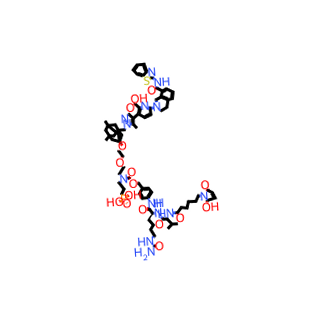 Cc1c(-c2ccc(N3CCc4cccc(C(=O)Nc5nc6ccccc6s5)c4C3)nc2C(=O)O)cnn1CC12CC3(C)CC(C)(C1)CC(OCCOCCN(CCCP(=O)(O)O)C(=O)OCc1ccc(NC(=O)[C@H](CCCCNC(N)=O)NC(=O)[C@@H](NC(=O)CCCCCN4C(=O)C=CC4O)C(C)C)cc1)(C3)C2